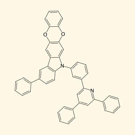 c1ccc(-c2cc(-c3ccccc3)nc(-c3cccc(-n4c5ccc(-c6ccccc6)cc5c5cc6c(cc54)Oc4ccccc4O6)c3)c2)cc1